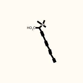 C#CC#CC#CC#CC(C(=O)O)[N+](C)(C)C